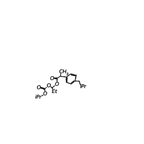 CCC(OC(=O)OC(C)C)OC(=O)C(C)c1ccc(CC(C)C)cc1